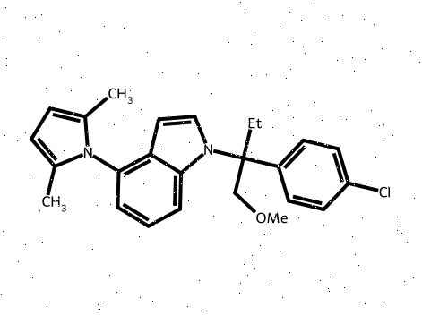 CCC(COC)(c1ccc(Cl)cc1)n1ccc2c(-n3c(C)ccc3C)cccc21